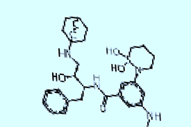 CCNc1cc(C(=O)N[C@@H](Cc2ccccc2)[C@@H](O)CNC23CCC(CC2)CC3)cc(N2CCCCS2(O)O)c1